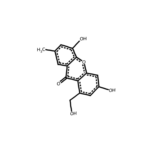 Cc1cc(O)c2oc3cc(O)cc(CO)c3c(=O)c2c1